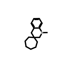 CN1CC2(CCCCCC2)Cc2ccccc21